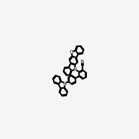 N#Cc1cccc(-c2ccc(-n3c4ccccc4c4ccccc43)cc2)c1-n1c2ccccc2c2cc3oc4ccccc4c3cc21